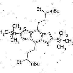 CCCCC(CC)CCc1c2c[c]([Sn]([CH3])([CH3])[CH3])sc2c(CCC(CC)CCCC)c2c[c]([Sn]([CH3])([CH3])[CH3])sc12